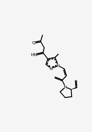 C=C[C@H]1CCCN1C(=C)/C=C\n1ncc(C(=N)CC(C)=O)c1C